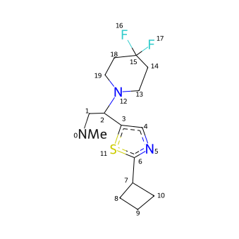 CNCC(c1cnc(C2CCC2)s1)N1CCC(F)(F)CC1